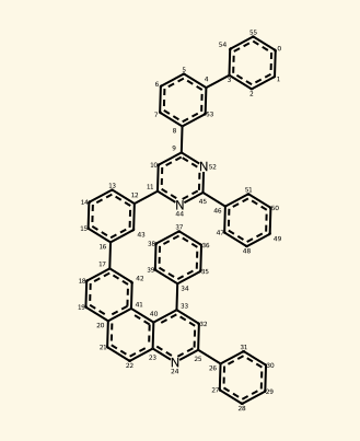 c1ccc(-c2cccc(-c3cc(-c4cccc(-c5ccc6ccc7nc(-c8ccccc8)cc(-c8ccccc8)c7c6c5)c4)nc(-c4ccccc4)n3)c2)cc1